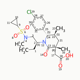 CC[C@@H](CN(C)S(=O)(=O)C1CC1)N1C(=O)[C@@](C)(CC(=O)O)C[C@H](C)[C@H]1c1ccc(Cl)cc1